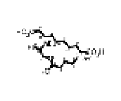 CCCCCCCCCCCCCC(=O)OCC(CC)CCCC.O=C(O)CCCCCCCCC(=O)O